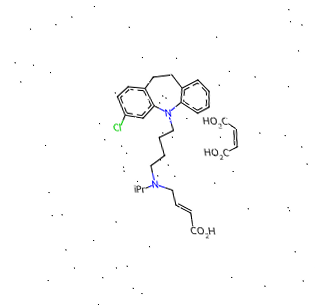 CC(C)N(C/C=C/C(=O)O)CCCCN1c2ccccc2CCc2ccc(Cl)cc21.O=C(O)/C=C\C(=O)O